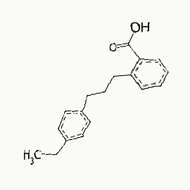 CCc1ccc(CCCc2ccccc2C(=O)O)cc1